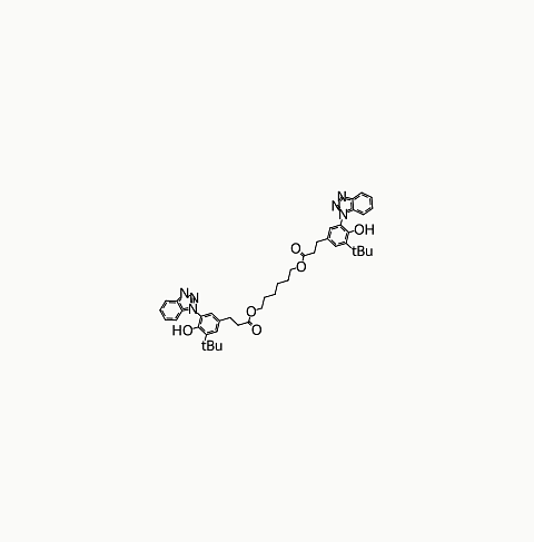 CC(C)(C)c1cc(CCC(=O)OCCCCCCOC(=O)CCc2cc(-n3nnc4ccccc43)c(O)c(C(C)(C)C)c2)cc(-n2nnc3ccccc32)c1O